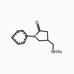 CC(=O)NCC1CC(=O)N(c2ccccc2)C1